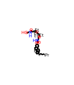 CCC(CC)(CCOC(CC)(CC)CCC(=O)NCCO)OCCNC(=O)O[C@@H]1CC[C@]2(C)C(=CC[C@H]3C2CCC2(C)C([C@@H](C)CCCC(C)C)CC[C@H]32)C1